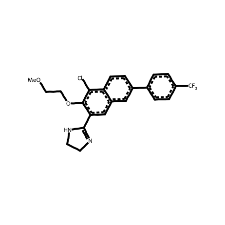 COCCOc1c(C2=NCCN2)cc2cc(-c3ccc(C(F)(F)F)cc3)ccc2c1Cl